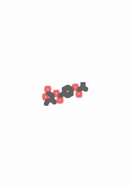 C=C(C)C(=O)Oc1ccc(C(=O)OC2=C(C)C(C)OC2=O)cc1